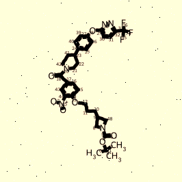 CC(C)(C)OC(=O)N1CC(CCCOc2ccc(C(=O)N3CCC(c4ccc(Oc5ccc(C(F)(F)F)nn5)cc4)CC3)cc2[N+](=O)[O-])C1